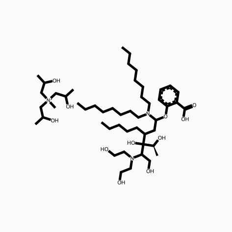 CC(O)C[N+](C)(CC(C)O)CC(C)O.CCCCCCCCN(CCCCCCCC)C(CC(CCCCC)C(O)(C(CO)N(CCO)CCO)[C@H](C)O)Oc1ccccc1C(=O)O